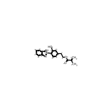 C=C(C)C(=O)OCCc1ccc(-n2nc3ccccc3n2)c(O)c1